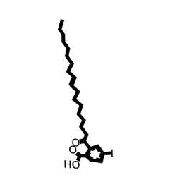 CCCCCCCCC=CCCCCCCCC(=O)c1cc(I)ccc1C(=O)O